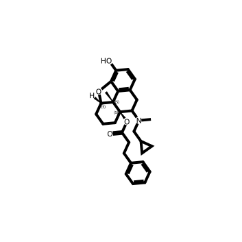 CN(CC1CC1)C1Cc2ccc(O)c3c2[C@@]2(C)[C@H](CCC[C@@]12OC(=O)CCc1ccccc1)O3